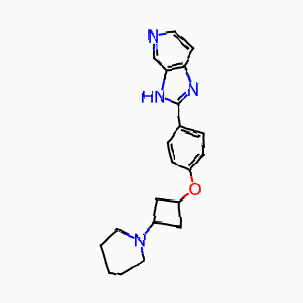 c1cc2nc(-c3ccc(OC4CC(N5CCCCC5)C4)cc3)[nH]c2cn1